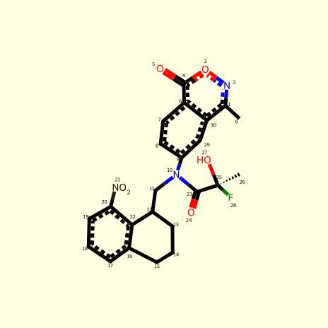 Cc1noc(=O)c2ccc(N(CC3CCCc4cccc([N+](=O)[O-])c43)C(=O)[C@@](C)(O)F)cc12